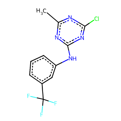 Cc1nc(Cl)nc(Nc2cccc(C(F)(F)F)c2)n1